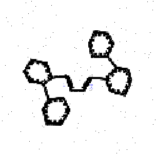 C(/C=C/c1ccccc1-c1ccccc1)=C\c1ccccc1-c1ccccc1